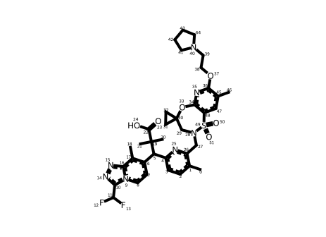 Cc1ccc(C(c2ccn3c(C(F)F)nnc3c2C)C(C)(C)C(=O)O)nc1CN1CC2(CC2)Oc2nc(OCCN3CCCC3)c(C)cc2S1(=O)=O